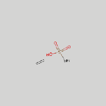 C=C.CCCS(=O)(=O)O